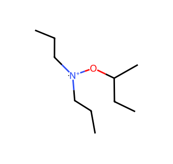 CCC[N+](CCC)OC(C)CC